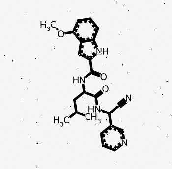 COc1cccc2[nH]c(C(=O)NC(CC(C)C)C(=O)NC(C#N)c3cccnc3)cc12